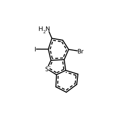 Nc1cc(Br)c2c(sc3ccccc32)c1I